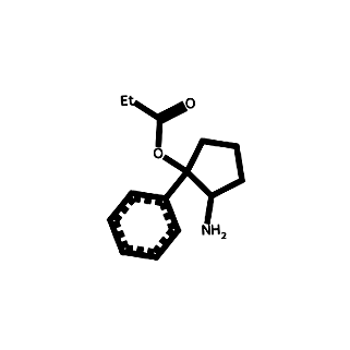 CCC(=O)OC1(c2ccccc2)CCCC1N